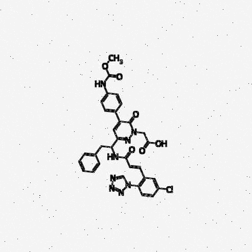 COC(=O)Nc1ccc(-c2cc(C(Cc3ccccc3)NC(=O)C=Cc3cc(Cl)ccc3-n3cnnn3)nn(CC(=O)O)c2=O)cc1